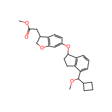 COC(=O)CC1COc2cc(OC3CCc4c3cccc4C(OC)C3CCC3)ccc21